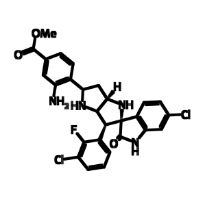 COC(=O)c1ccc(C2C[C@@H]3N[C@@]4(C(=O)Nc5cc(Cl)ccc54)[C@@H](c4cccc(Cl)c4F)C3N2)c(N)c1